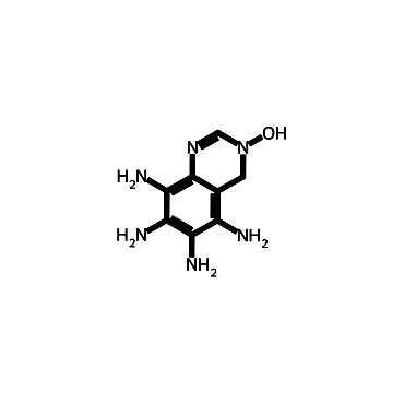 Nc1c(N)c(N)c2c(c1N)CN(O)C=N2